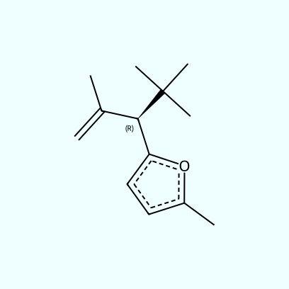 C=C(C)[C@H](c1ccc(C)o1)C(C)(C)C